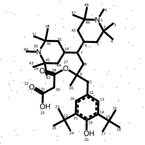 CN1C(C)(C)CC(C(CC(C)(Cc2cc(C(C)(C)C)c(O)c(C(C)(C)C)c2)OC(=O)CC(=O)O)C2CC(C)(C)N(C)C(C)(C)C2)CC1(C)C